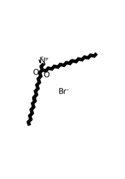 CCCCCCCCC=CCCCCCCCC(=O)C(CC[N+](C)(C)C)C(=O)CCCCCCCC=CCCCCCCCC.[Br-]